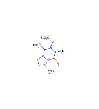 CCOC(=O)CN(CC(=O)OCC)C(C)C(=O)N1CCC[C@H]1C(=O)O